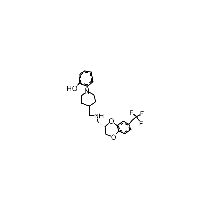 Oc1ccccc1N1CCC(CNC[C@H]2COc3ccc(C(F)(F)F)cc3O2)CC1